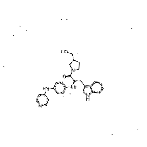 O=C(C(Cc1c[nH]c2ccccc12)Nc1ccc(Nc2ccncc2)cc1)N1CCC(CO)C1